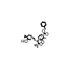 C[C@H]1C(=O)N([C@@H](CCN2CCC3(CC3)[C@H](O)C2)C(=O)N(C)C)CCN1C(=O)OCc1ccccc1